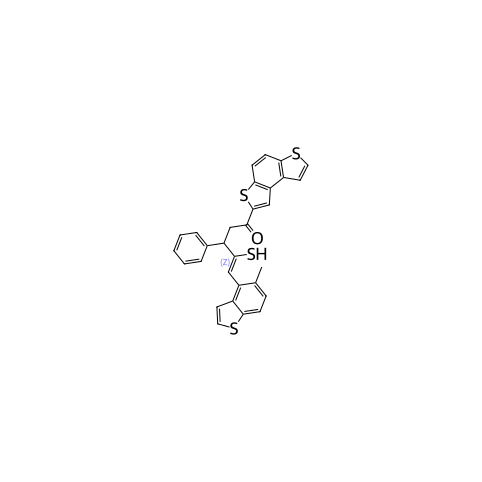 Cc1ccc2sccc2c1/C=C(\S)C(CC(=O)c1cc2c(ccc3sccc32)s1)c1ccccc1